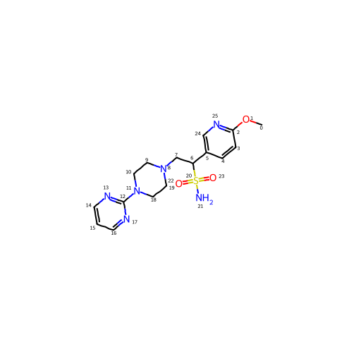 COc1ccc(C(CN2CCN(c3ncccn3)CC2)S(N)(=O)=O)cn1